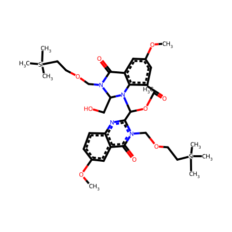 COc1ccc2c(c1)C(=O)N(COCC[Si](C)(C)C)C(CO)N2C(OC(C)=O)c1nc2ccc(OC)cc2c(=O)n1COCC[Si](C)(C)C